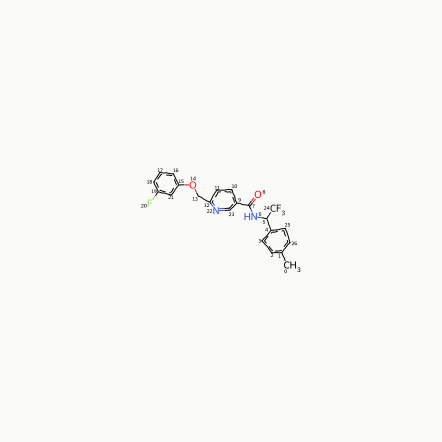 Cc1ccc(C(NC(=O)c2ccc(COc3cccc(F)c3)nc2)C(F)(F)F)cc1